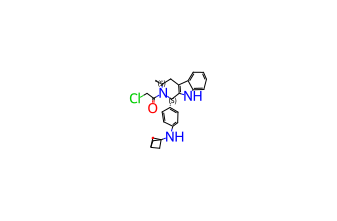 C[C@H]1Cc2c([nH]c3ccccc23)[C@H](c2ccc(NC34CC(C3)C4)cc2)N1C(=O)CCl